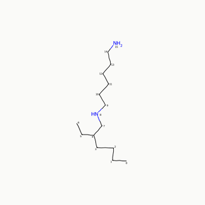 CCCCC(CC)CNCCCCCCN